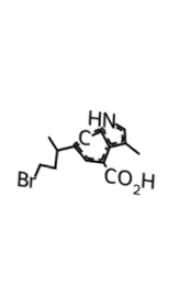 Cc1c[nH]c2cc(C(C)CCBr)cc(C(=O)O)c12